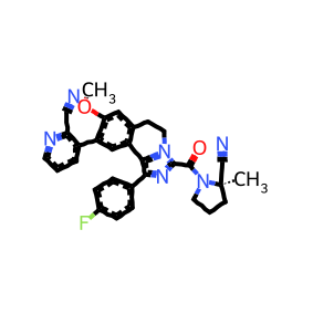 COc1cc2c(cc1-c1cccnc1C#N)-c1c(-c3ccc(F)cc3)nc(C(=O)N3CCC[C@]3(C)C#N)n1CC2